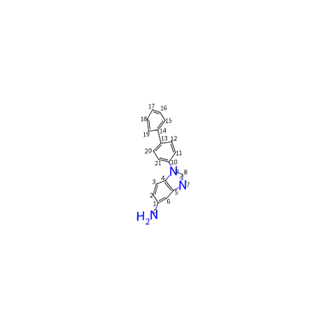 Nc1ccc2c(c1)ncn2-c1ccc(-c2ccccc2)cc1